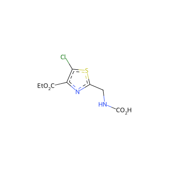 CCOC(=O)c1nc(CNC(=O)O)sc1Cl